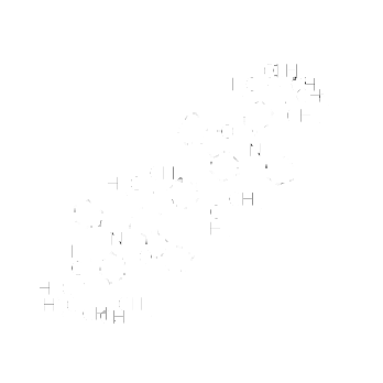 CC1(C)c2cc3c(cc2-c2c1cc(N(c1ccccc1)c1ccc4c(c1)C(C)(C)C(C)(C)C4(C)C)c1oc4ccccc4c21)C(C)(C)c1cc(N(c2ccccc2)c2ccc4c(c2)C(C)(C)C(C)(C)C4(C)C)c2oc4ccccc4c2c1-3